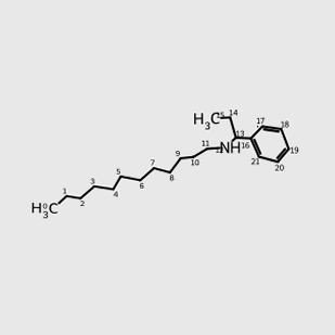 CCCCCCCCCCCCNC(CC)c1[c]cccc1